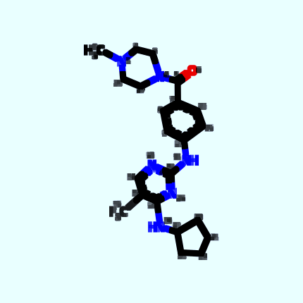 CN1CCN(C(=O)c2ccc(Nc3ncc(C(F)(F)F)c(NC4CCCC4)n3)cc2)CC1